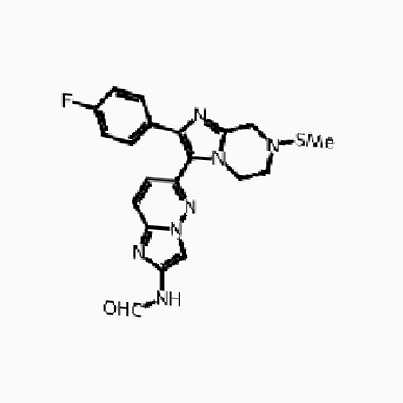 CSN1CCn2c(nc(-c3ccc(F)cc3)c2-c2ccc3nc(NC=O)cn3n2)C1